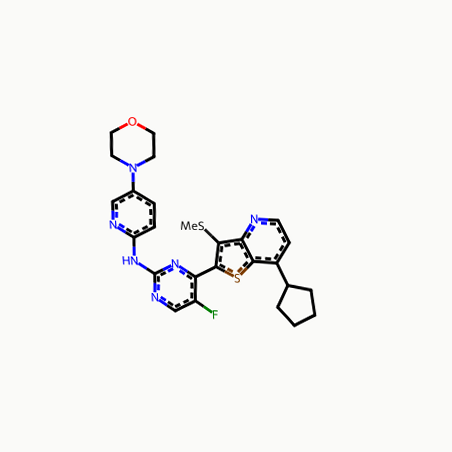 CSc1c(-c2nc(Nc3ccc(N4CCOCC4)cn3)ncc2F)sc2c(C3CCCC3)ccnc12